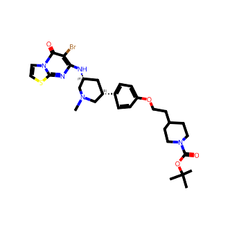 CN1C[C@H](Nc2nc3sccn3c(=O)c2Br)C[C@H](c2ccc(OCCC3CCN(C(=O)OC(C)(C)C)CC3)cc2)C1